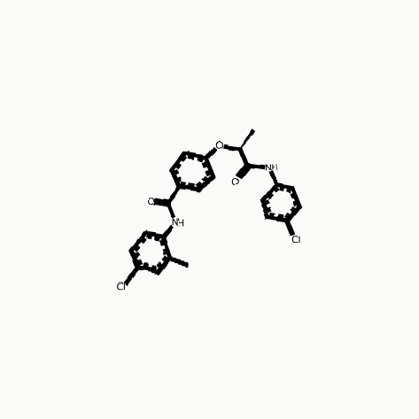 Cc1cc(Cl)ccc1NC(=O)c1ccc(O[C@@H](C)C(=O)Nc2ccc(Cl)cc2)cc1